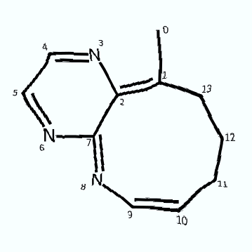 C\C1=c2/nccn/c2=N/C=C\CCC1